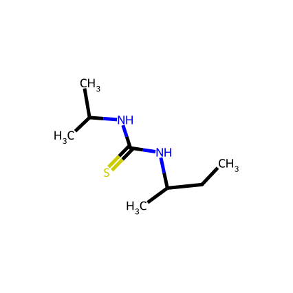 CCC(C)NC(=S)NC(C)C